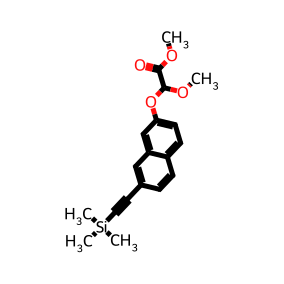 COC(=O)C(OC)Oc1ccc2ccc(C#C[Si](C)(C)C)cc2c1